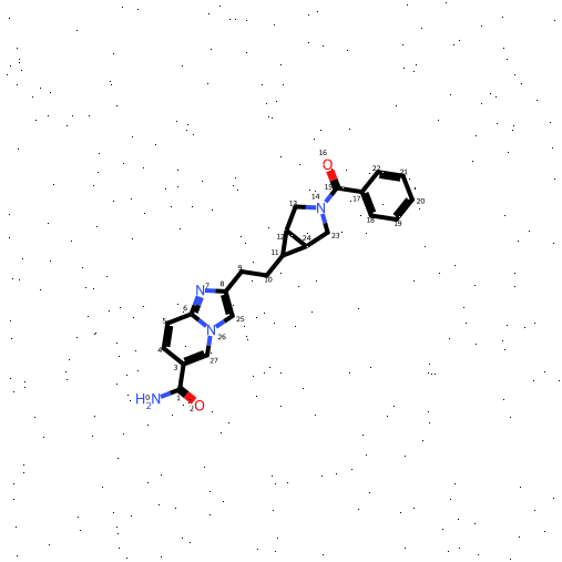 NC(=O)c1ccc2nc(CCC3C4CN(C(=O)c5ccccc5)CC34)cn2c1